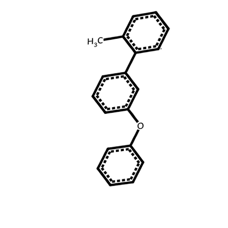 Cc1ccc[c]c1-c1cccc(Oc2ccccc2)c1